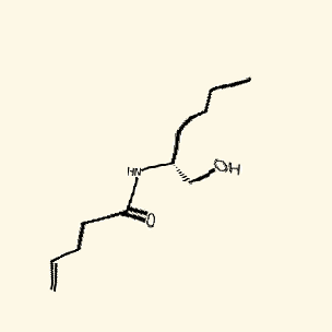 C=CCCC(=O)N[C@@H](CO)CCCC